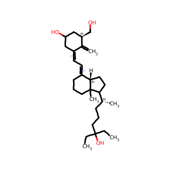 C=C1/C(=C\C=C2/CCCC3(C)C([C@H](C)CCCC(O)(CC)CC)CC[C@@H]23)CC(O)C[C@H]1CO